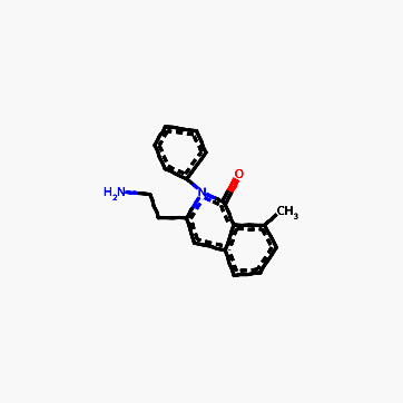 Cc1cccc2cc(CCN)n(-c3ccccc3)c(=O)c12